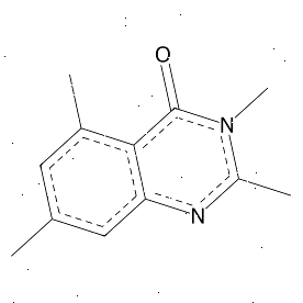 Cc1cc(C)c2c(=O)n(C)c(C)nc2c1